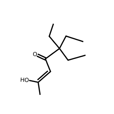 CCC(CC)(CC)C(=O)/C=C(/C)O